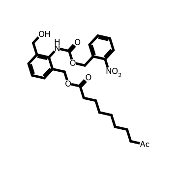 CC(=O)CCCCCCCC(=O)OCc1cccc(CO)c1NC(=O)OCc1ccccc1[N+](=O)[O-]